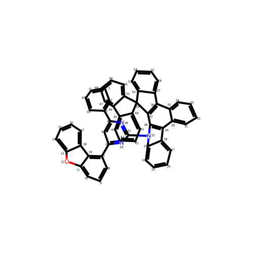 c1ccc(-c2cc(-c3cccc4oc5ccccc5c34)nc(-n3c4ccccc4c4c5ccccc5c5c(c43)C3(c4ccccc4-c4ccccc43)c3ccccc3-5)n2)cc1